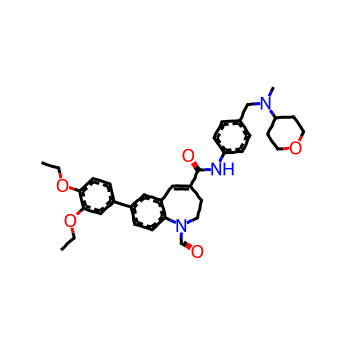 CCOc1ccc(-c2ccc3c(c2)C=C(C(=O)Nc2ccc(CN(C)C4CCOCC4)cc2)CCN3C=O)cc1OCC